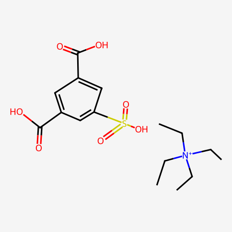 CC[N+](CC)(CC)CC.O=C(O)c1cc(C(=O)O)cc(S(=O)(=O)O)c1